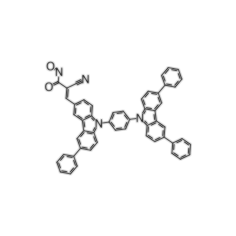 N#C/C(=C\c1ccc2c(c1)c1cc(-c3ccccc3)ccc1n2-c1ccc(-n2c3ccc(-c4ccccc4)cc3c3cc(-c4ccccc4)ccc32)cc1)C(=O)N=O